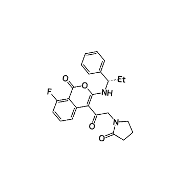 CC[C@H](Nc1oc(=O)c2c(F)cccc2c1C(=O)CN1CCCC1=O)c1ccccc1